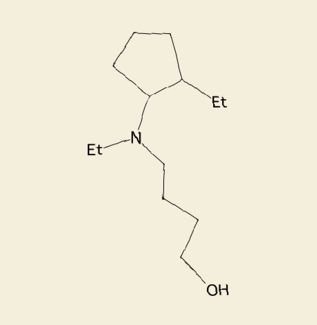 CCC1CCCC1N(CC)CCCCO